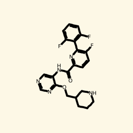 O=C(Nc1cncnc1OCC1CCCNC1)c1ccc(F)c(-c2c(F)cccc2F)n1